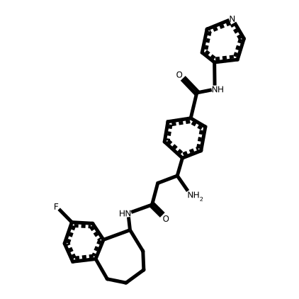 NC(CC(=O)NC1CCCCc2ccc(F)cc21)c1ccc(C(=O)Nc2ccncc2)cc1